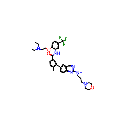 CCN(CC)CCOc1ccc(C(F)(F)F)cc1NC(=O)c1ccc(C)c(-c2ccc3nc(NCCCN4CCOCC4)ncc3c2)c1